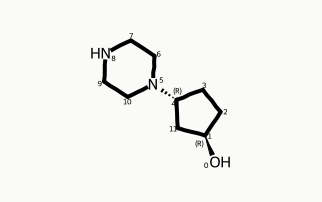 O[C@@H]1CC[C@@H](N2CCNCC2)C1